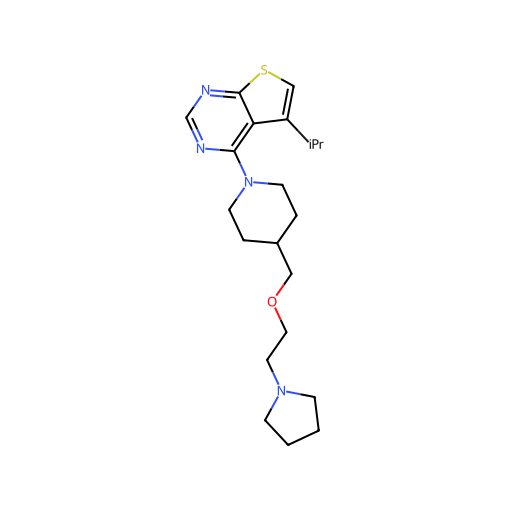 CC(C)c1csc2ncnc(N3CCC(COCCN4CCCC4)CC3)c12